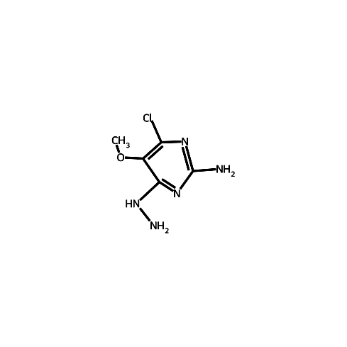 COc1c(Cl)nc(N)nc1NN